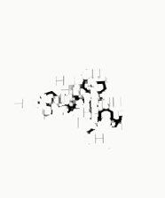 C=CCNC(=O)C(=O)C(CCC(F)(F)F)NC(=O)[C@@H]1CCCN1C(=O)[C@@H](NC(=O)N[C@H](CN1CCCN(C)C1=O)C(C)(C)C)C(C)(C)C